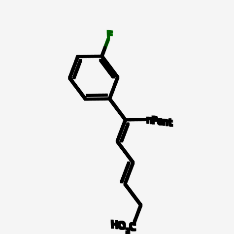 CCCCC/C(=C\C=C\CC(=O)O)c1cccc(F)c1